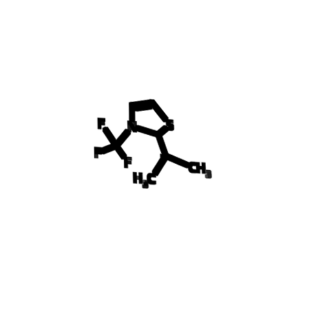 C[C](C)C1SC=CN1C(F)(F)F